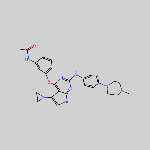 CC(=O)Nc1cccc(Oc2nc(Nc3ccc(N4CCN(C)CC4)cc3)nc3[nH]cc(N4CC4)c23)c1